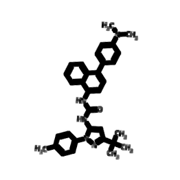 Cc1ccc(-n2nc(C(C)(C)C)cc2NC(=O)Nc2ccc(-c3ccc(N(C)C)cc3)c3ccccc23)cc1